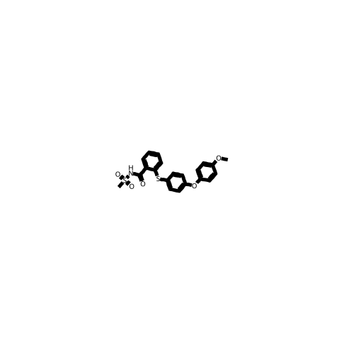 COc1ccc(Oc2ccc(Sc3ccccc3C(=O)NS(C)(=O)=O)cc2)cc1